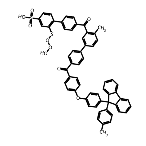 Cc1ccc(C2(c3ccc(Oc4ccc(C(=O)c5ccc(-c6ccc(C)c(C(=O)c7ccc(-c8ccc(S(=O)(=O)O)cc8SOOO)cc7)c6)cc5)cc4)cc3)c3ccccc3-c3ccccc32)cc1